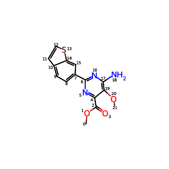 COC(=O)c1nc(-c2ccc3ccsc3c2)nc(N)c1OC